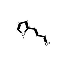 O=[C]C=Cc1ccco1